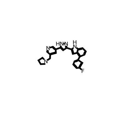 Fc1cccc(-c2cccc3[nH]c(-c4cc(-c5cncc(CN6CCCC6)c5)[nH]n4)cc23)c1